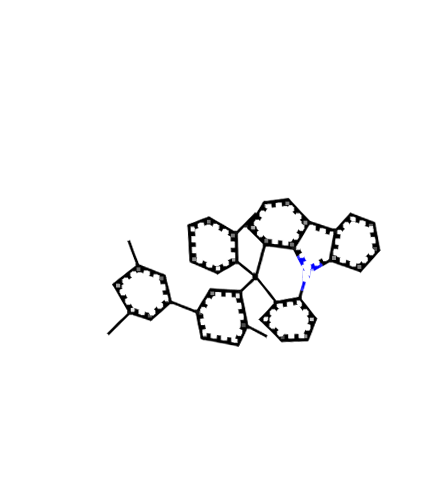 Cc1cc(C)cc(-c2ccc(C)c(C3(c4ccccc4C)c4ccccc4-n4c5ccccc5c5cccc3c54)c2)c1